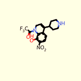 O=C(N1CC=C(C2CCNCC2)c2ccc([N+](=O)[O-])c(O)c21)C(F)(F)F